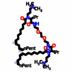 CCCCC/C=C\C/C=C\CCCCCCCC(=O)N(CCCN(C)C)C(C(=O)NCCOCCOCCNC(=O)C(C(C)C)N(CCCN(C)C)C(=O)CCCCCCC/C=C\C/C=C\CCCCC)C(C)C